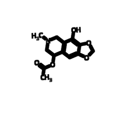 CC(=O)OC1CN(C)Cc2c1cc1c(c2O)OCO1